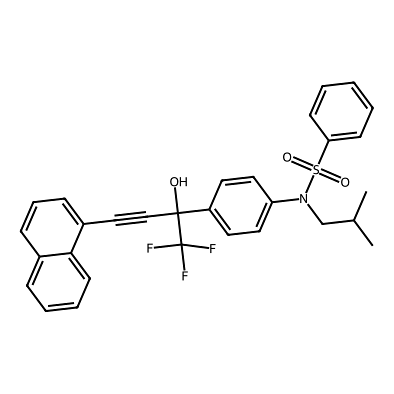 CC(C)CN(c1ccc(C(O)(C#Cc2cccc3ccccc23)C(F)(F)F)cc1)S(=O)(=O)c1ccccc1